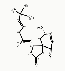 CC(=O)O[C@@H]1C=CC(=O)C2(CC(=O)O[C@@H]2/C=C(\C)C/C=C/C(C)(C)O)C1